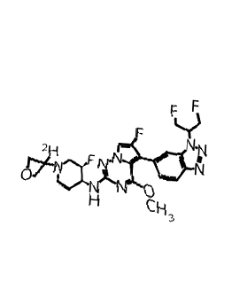 [2H]C1(N2CC[C@H](Nc3nc(OC)c4c(-c5ccc6nnn(C(CF)CF)c6c5)c(F)cn4n3)[C@H](F)C2)COC1